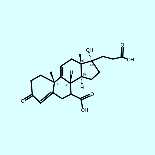 C[C@]12CCC(=O)C=C1CC(C(=O)O)[C@@H]1C2=CC[C@@]2(C)[C@H]1CC[C@]2(O)CCC(=O)O